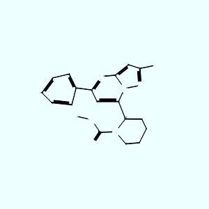 CC(C)(C)OC(=O)N1CCCCC1c1cc(-c2ccccc2)nc2cc(C(=O)O)nn12